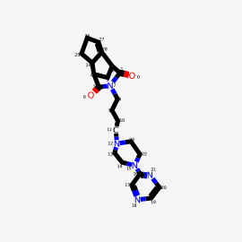 O=C1C2CC(C(=O)N1CCCCN1CCN(c3cnccn3)CC1)C1CCC=C21